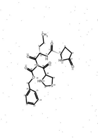 CCC[C@H](NC(=O)[C@@H]1CCC(=O)N1)C(=O)N(C(=O)OCc1ccccc1)C(=O)C1CSCN1